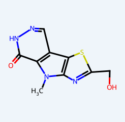 Cn1c2nc(CO)sc2c2cn[nH]c(=O)c21